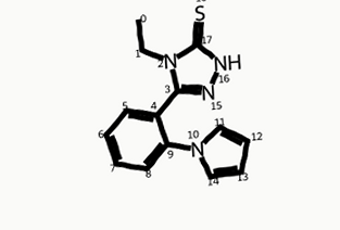 CCn1c(-c2ccccc2-n2cccc2)n[nH]c1=S